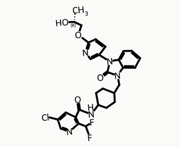 C[C@@H](O)COc1ccc(-n2c(=O)n(CC3CCC(NC(=O)c4cc(Cl)cnc4C(F)F)CC3)c3ccccc32)cn1